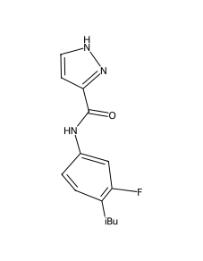 CCC(C)c1ccc(NC(=O)c2cc[nH]n2)cc1F